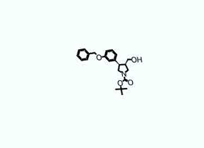 CC(C)(C)OC(=O)N1C[C@H](CO)[C@H](c2cccc(OCc3ccccc3)c2)C1